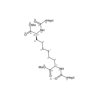 CCCCCCCC(=O)NC(CCSSCC[C@H](NC(=O)CCCCCCC)C(=O)OC)C(=O)OC